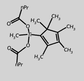 CCCC(=O)[O][Ti]([CH3])([O]C(=O)CCC)[C]1=C(C)C(C)=C(C)C1(C)C